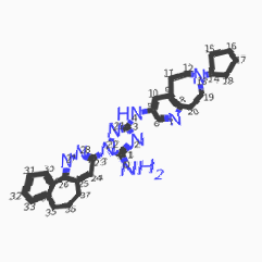 Nc1nc(Nc2cnc3c(c2)CCN(C2CCCC2)CC3)nn1-c1cc2c(nn1)-c1ccccc1CCC2